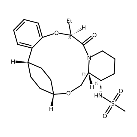 CC[C@@H]1Oc2ccccc2[C@H]2CC[C@H](CC2)OC[C@H]2[C@@H](NS(C)(=O)=O)CCCN2C1=O